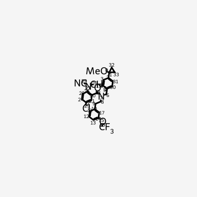 COC1(c2ccc(CN(CCc3cccc(OC(F)(F)F)c3)C(=O)c3cc(Cl)ccc3N(C)C#N)cc2)CC1